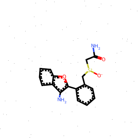 NC(=O)C[S+]([O-])Cc1ccccc1-c1oc2ccccc2c1N